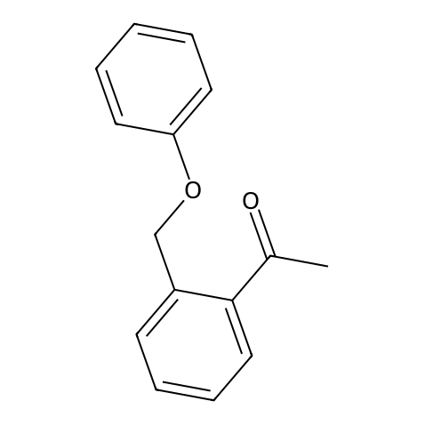 CC(=O)c1ccccc1COc1ccccc1